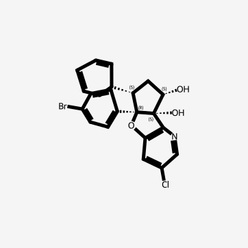 O[C@H]1C[C@@H](C2C=CC=CC2)[C@]2(c3ccc(Br)cc3)Oc3cc(Cl)cnc3[C@]12O